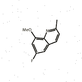 COc1cc(F)cc2ccc(C)nc12